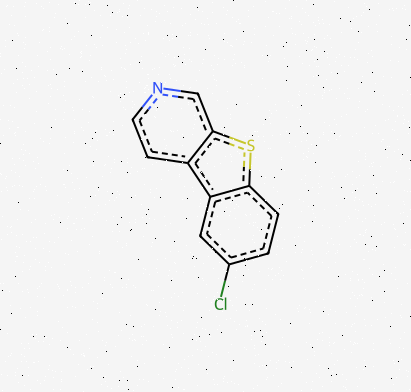 Clc1ccc2sc3cnccc3c2c1